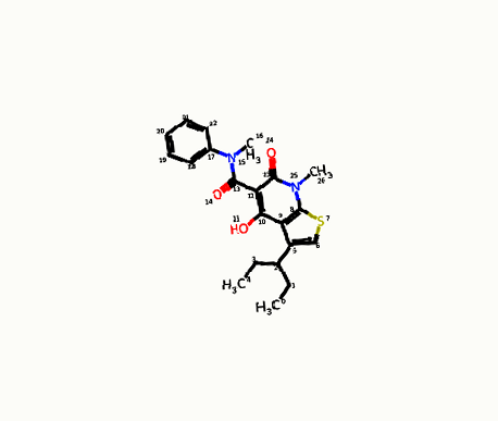 CCC(CC)c1csc2c1c(O)c(C(=O)N(C)c1ccccc1)c(=O)n2C